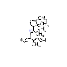 CC1=CCC(/C(C)=C/C(C)C(C)CO)C1(C)C